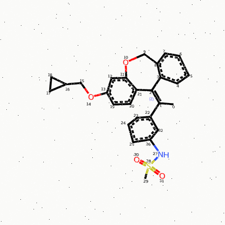 C/C(=C1\c2ccccc2COc2cc(OCC3CC3)ccc21)c1cccc(NS(C)(=O)=O)c1